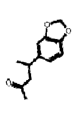 CC(=O)CC(C)c1ccc2c(c1)OCO2